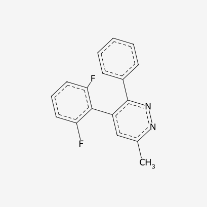 Cc1cc(-c2c(F)cccc2F)c(-c2ccccc2)nn1